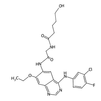 CCOc1cc2ncnc(Nc3ccc(F)c(Cl)c3)c2cc1NC(=O)CNC(=O)CCCCO